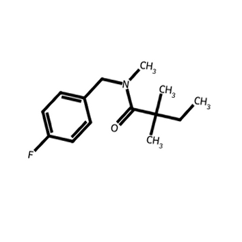 CCC(C)(C)C(=O)N(C)Cc1ccc(F)cc1